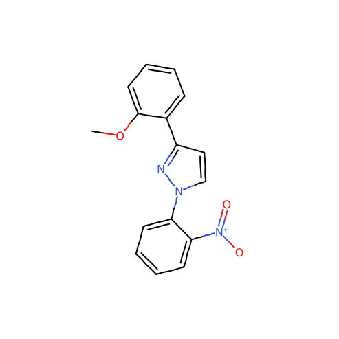 COc1ccccc1-c1ccn(-c2ccccc2[N+](=O)[O-])n1